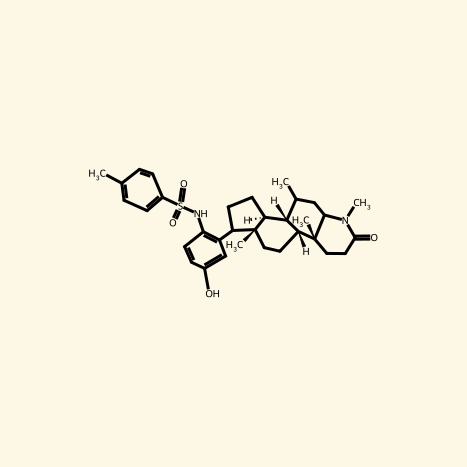 Cc1ccc(S(=O)(=O)Nc2ccc(O)cc2C2CC[C@H]3[C@@H]4C(C)CC5N(C)C(=O)CC[C@]5(C)[C@@H]4CC[C@]23C)cc1